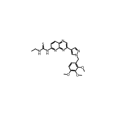 CCNC(=S)Nc1ccc2ncc(-c3cnn(Cc4ccc(OC)c(OC)c4OC)c3)nc2n1